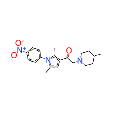 Cc1cc(C(=O)CN2CCC(C)CC2)c(C)n1-c1ccc([N+](=O)[O-])cc1